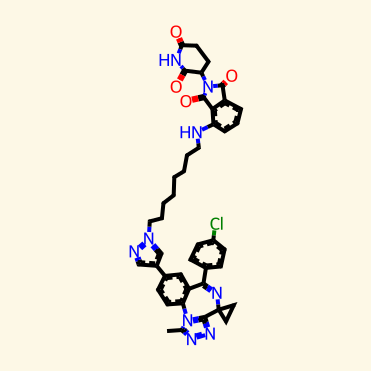 Cc1nnc2n1-c1ccc(-c3cnn(CCCCCCCCNc4cccc5c4C(=O)N(C4CCC(=O)NC4=O)C5=O)c3)cc1C(c1ccc(Cl)cc1)=NC21CC1